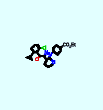 CCOC(=O)c1ccc(-n2nc(C(=O)c3c(Cl)cccc3C3CC3)c3cccnc32)cc1